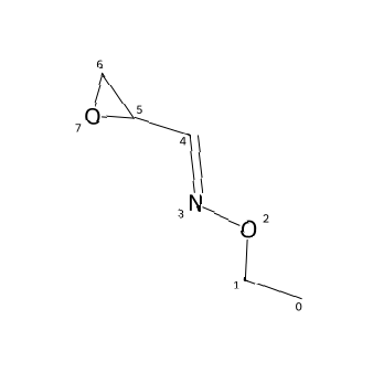 CCON=CC1CO1